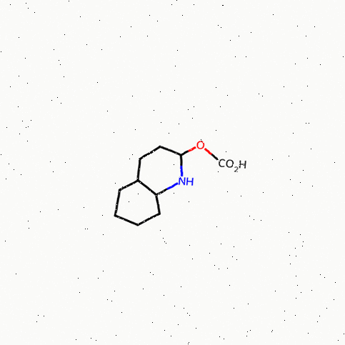 O=C(O)OC1CCC2CCCCC2N1